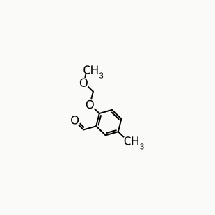 COCOc1ccc(C)cc1C=O